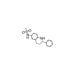 CS(=O)(=O)Nc1ccc2c(c1)CCC(c1ccccc1)N2